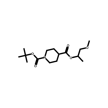 COCC(C)OC(=O)C1CCN(C(=O)OC(C)(C)C)CC1